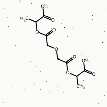 CC(OC(=O)COCC(=O)OC(C)C(=O)O)C(=O)O